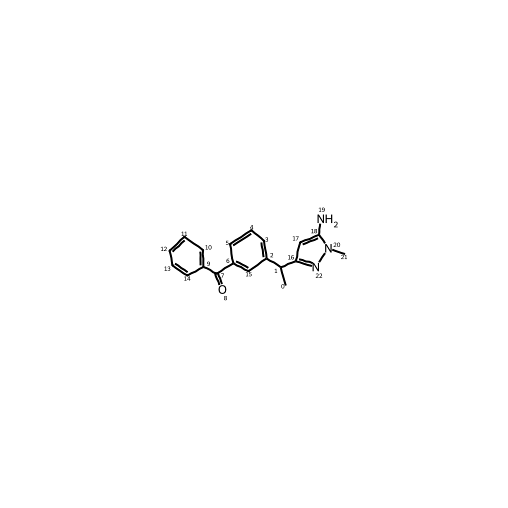 CC(c1cccc(C(=O)c2ccccc2)c1)c1cc(N)n(C)n1